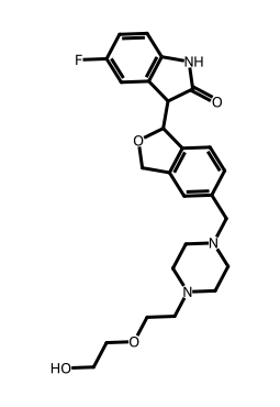 O=C1Nc2ccc(F)cc2C1C1OCc2cc(CN3CCN(CCOCCO)CC3)ccc21